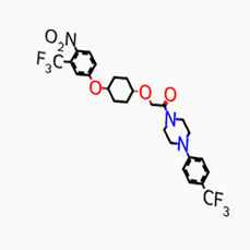 O=C(CO[C@H]1CC[C@H](Oc2ccc([N+](=O)[O-])c(C(F)(F)F)c2)CC1)N1CCN(c2ccc(C(F)(F)F)cc2)CC1